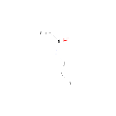 CNC(=O)NCCC(C)C